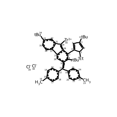 CCC1C=C(C(C)(C)C)C=C1c1c(C(C)(C)C)c(=C(c2ccc(C)cc2)c2ccc(C)cc2)cc2c1=[C]([Zr+2])c1cc(C(C)(C)C)ccc1-2.[Cl-].[Cl-]